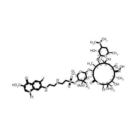 CC[C@H]1OC(=O)[C@H](C)[C@@H](O[C@H]2C[C@@](C)(OC)[C@@H](OS(=O)(=O)CCNCCNc3cc4c(cc3F)c(=O)c(C(=O)O)cn4CC)[C@H](C)O2)[C@@H](C)[C@@H](O[C@@H]2O[C@H](C)CC(N(C)C)[C@H]2O)[C@](C)(O)C[C@@H](C)/C(=N\O)[C@H](C)[C@@H](O)[C@]1(C)O